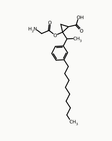 CCCCCCCCCc1cccc(C(C)C2(OC(=O)CN)CC2C(=O)O)c1